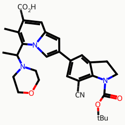 Cc1c(C(=O)O)cc2cc(-c3cc(C#N)c4c(c3)CCN4C(=O)OC(C)(C)C)cn2c1C(C)N1CCOCC1